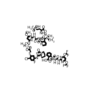 COC(=O)CSc1cc(/N=c2\sc(=O)n3n2CCCC3)c(F)cc1Cl.COc1cc(OC)nc(NC(=O)NS(=O)(=O)c2ncccc2C(=O)N(C)C)n1.CP(=O)(O)CCC(N)C(=O)O.O=C(Nc1nc(OC(F)F)cc(OC(F)F)n1)NS(=O)(=O)c1ccccc1C(=O)O